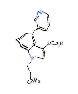 COCCn1cc(C(=O)O)c2c(-c3cccnc3)cccc21